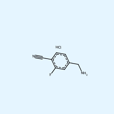 Cl.N#Cc1ccc(CN)cc1F